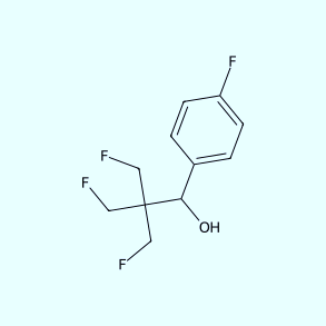 OC(c1ccc(F)cc1)C(CF)(CF)CF